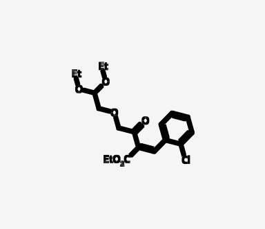 CCOC(=O)C(=Cc1ccccc1Cl)C(=O)COCC(OCC)OCC